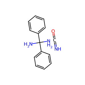 N=C=O.NC(N)(c1ccccc1)c1ccccc1